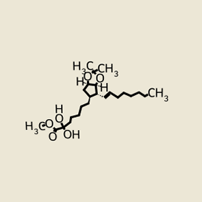 CCCCCCC=C[C@@H]1[C@@H](CCCCCC(O)(O)C(=O)OC)C[C@H]2OC(C)(C)O[C@@H]12